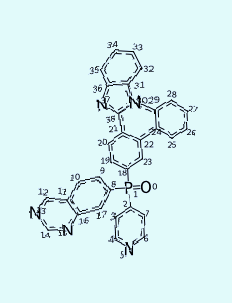 O=P(c1ccncc1)(c1ccc2cncnc2c1)c1ccc2c(c1)c1ccccc1n1c3ccccc3nc21